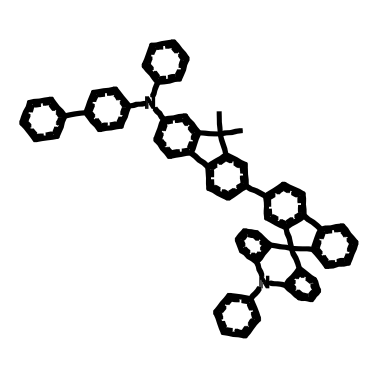 CC1(C)c2cc(-c3ccc4c(c3)C3(c5ccccc5-4)c4ccccc4N(c4ccccc4)c4ccccc43)ccc2-c2ccc(N(c3ccccc3)c3ccc(-c4ccccc4)cc3)cc21